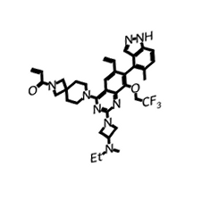 C=CC(=O)N1CC2(CCN(c3nc(N4CC(N(C)CC)C4)nc4c(OCC(F)(F)F)c(-c5c(C)ccc6[nH]ncc56)c(C=C)cc34)CC2)C1